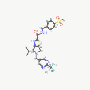 CC(C)[C@H]1c2nc(C(=O)NCc3ccc(S(C)(=O)=O)cc3)sc2CN1Cc1cnc(C(F)(F)F)nc1